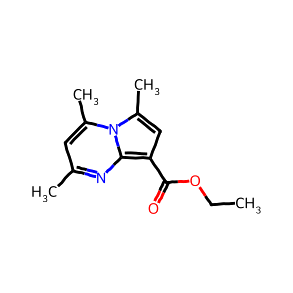 CCOC(=O)c1cc(C)n2c(C)cc(C)nc12